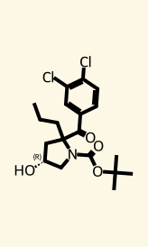 CCCC1(C(=O)c2ccc(Cl)c(Cl)c2)C[C@@H](O)CN1C(=O)OC(C)(C)C